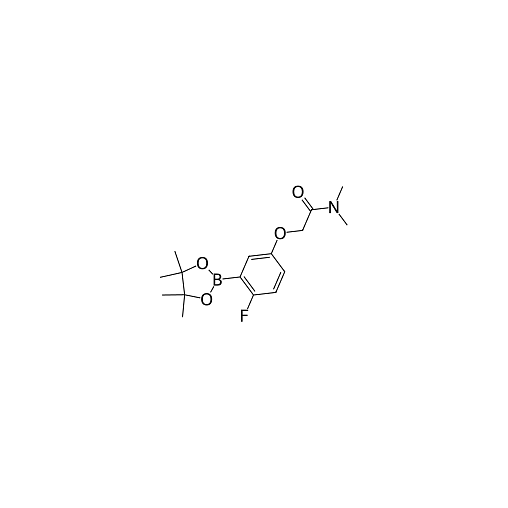 CN(C)C(=O)COc1ccc(F)c(B2OC(C)(C)C(C)(C)O2)c1